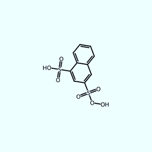 O=S(=O)(O)c1cc(S(=O)(=O)OO)cc2ccccc12